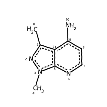 Cc1nn(C)c2nccc(N)c12